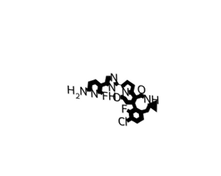 Nc1ccc(-c2cnc([C@@H]3CCc4c5c(cc(=O)n43)-c3c(ccc(Cl)c3F)CC3(CC3)NC5=O)[nH]2)c(F)n1